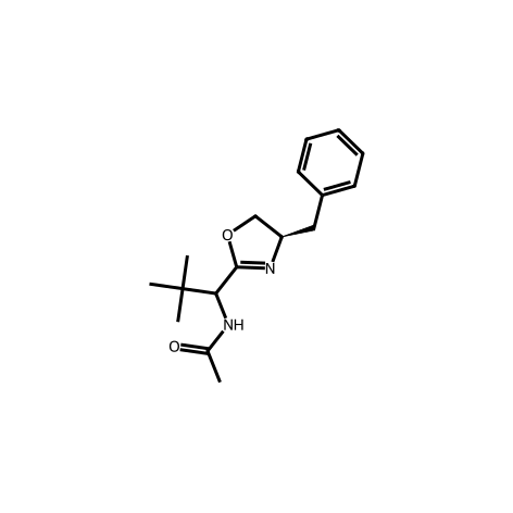 CC(=O)NC(C1=N[C@H](Cc2ccccc2)CO1)C(C)(C)C